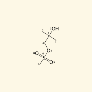 CC(C)(O)COS(C)(=O)=O